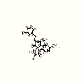 Cc1ccc(N(C(=O)[C@H](F)Cl)[C@](C)(C(=O)NCCc2cccc(F)c2)c2cncnc2)cn1